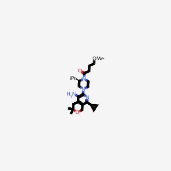 COCCCC(=O)N1CCN(c2nc(C3CC3)c3c(c2N)CC(C)(C)OC3)C[C@H]1C(C)C